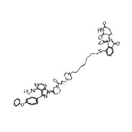 Nc1ncnc2c1c(-c1ccc(Oc3ccccc3)cc1)nn2[C@@H]1CCCN(C(=O)/C=C/CN2CCN(CCCCCCCCSc3cccc4c3C(=O)N(C3CCC(=O)NC3=O)C4=O)CC2)C1